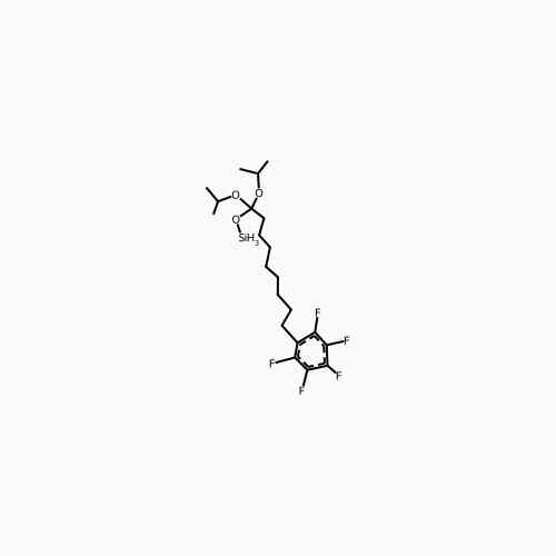 CC(C)OC(CCCCCCCCc1c(F)c(F)c(F)c(F)c1F)(O[SiH3])OC(C)C